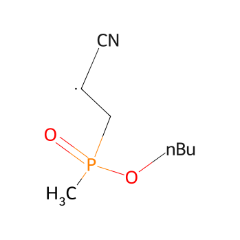 CCCCOP(C)(=O)C[CH]C#N